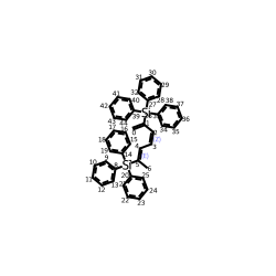 C=C(/C=C\C=C(/C)[Si](c1ccccc1)(c1ccccc1)c1ccccc1)[Si](c1ccccc1)(c1ccccc1)c1ccccc1